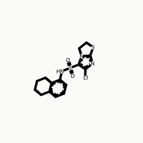 O=S(=O)(Nc1cccc2c1CCCC2)c1c(Cl)nc2n1CCS2